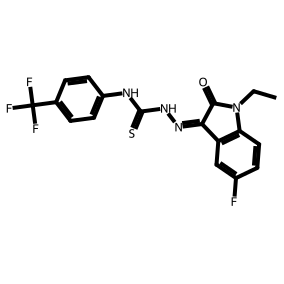 CCN1C(=O)C(=NNC(=S)Nc2ccc(C(F)(F)F)cc2)c2cc(F)ccc21